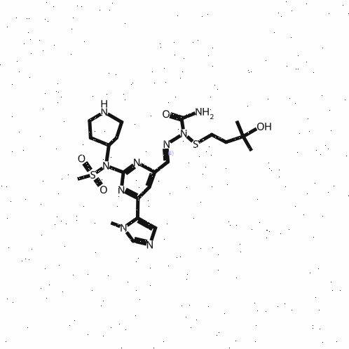 Cn1cncc1-c1cc(/C=N/N(SCCC(C)(C)O)C(N)=O)nc(N(C2CCNCC2)S(C)(=O)=O)n1